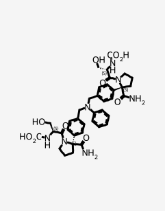 NC(=O)[C@@]1(c2ccc(CN(Cc3ccc([C@]4(C(N)=O)CCCN4C(=O)[C@H](CO)NC(=O)O)cc3)c3ccccc3)cc2)CCCN1C(=O)[C@H](CO)NC(=O)O